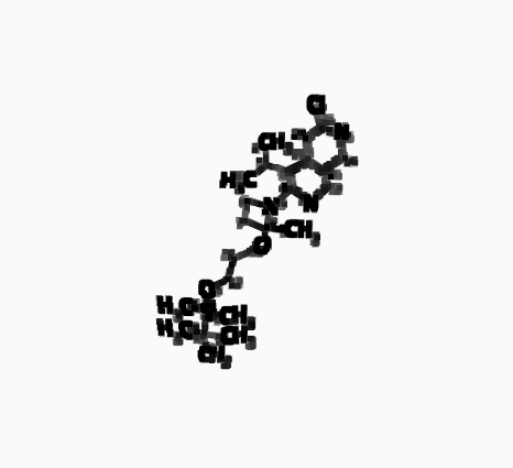 CC(C)c1c(N2CC[C@@]2(C)OCCO[Si](C)(C)C(C)(C)C)ncc2cnc(Cl)cc12